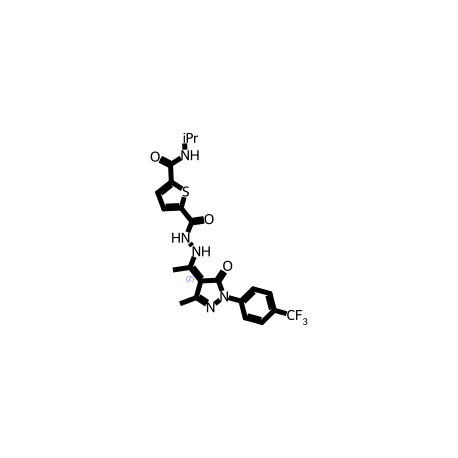 CC1=NN(c2ccc(C(F)(F)F)cc2)C(=O)/C1=C(/C)NNC(=O)c1ccc(C(=O)NC(C)C)s1